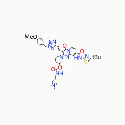 COc1ccc(Cn2nnc(C=Cc3c(N4CCC[C@@H](OC(=O)NCCC[N+](C)(C)C)C4)nc4cc(C(=O)Nc5nc(C(C)(C)C)cs5)ccn4c3=O)n2)cc1